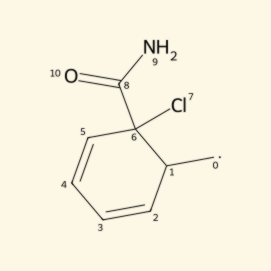 [CH2]C1C=CC=CC1(Cl)C(N)=O